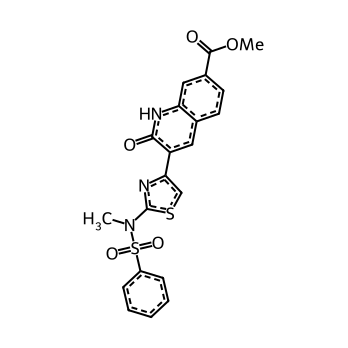 COC(=O)c1ccc2cc(-c3csc(N(C)S(=O)(=O)c4ccccc4)n3)c(=O)[nH]c2c1